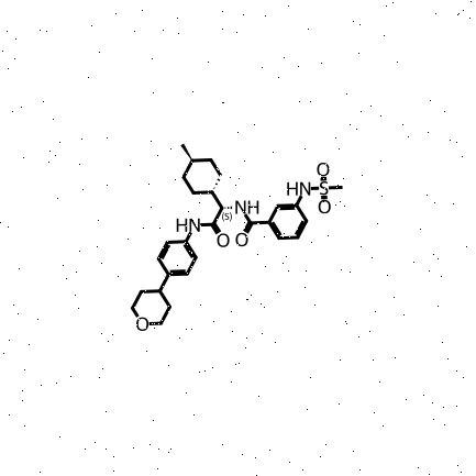 CS(=O)(=O)Nc1cccc(C(=O)N[C@H](C(=O)Nc2ccc(C3CCOCC3)cc2)[C@H]2CC[C@H](C)CC2)c1